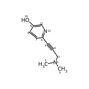 CN(C)CC#Cc1ccc(O)cn1